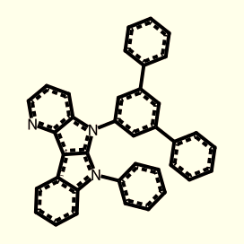 c1ccc(-c2cc(-c3ccccc3)cc(-n3c4cccnc4c4c5ccccc5n(-c5ccccc5)c43)c2)cc1